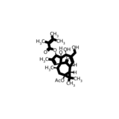 CC(=O)O[C@@]12C[C@@H](C)[C@]34C=C(C)[C@H](OC(=O)C(C)=C(C)C)[C@@]3(O)[C@H](O)C(CO)=C[C@H](C4=O)[C@@H]1C2(C)C